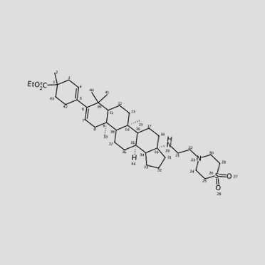 CCOC(=O)C1(C)CC=C(C2=CC[C@@]3(C)C(CC[C@@]4(C)C5CC[C@@]6(NCCN7CCS(=O)(=O)CC7)CCCC6[C@H]5CCC43)C2(C)C)CC1